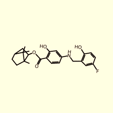 CC1(C)C2CCC1(C)C(OC(=O)c1ccc(NCc3cc(F)ccc3O)cc1O)C2